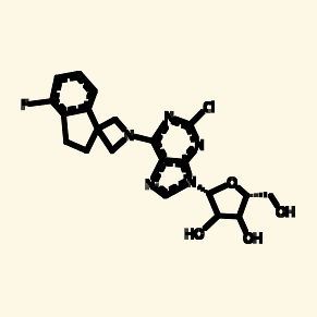 OC[C@H]1O[C@@H](n2cnc3c(N4CC5(CCc6c(F)cccc65)C4)nc(Cl)nc32)C(O)C1O